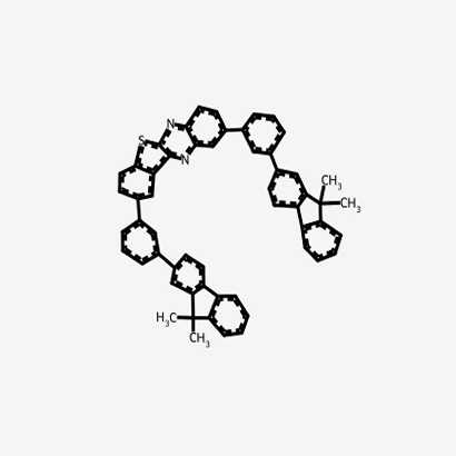 CC1(C)c2ccccc2-c2ccc(-c3cccc(-c4ccc5nc6sc7ccc(-c8cccc(-c9ccc%10c(c9)C(C)(C)c9ccccc9-%10)c8)cc7c6nc5c4)c3)cc21